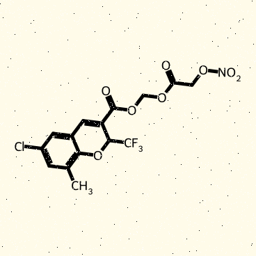 Cc1cc(Cl)cc2c1OC(C(F)(F)F)C(C(=O)OCOC(=O)CO[N+](=O)[O-])=C2